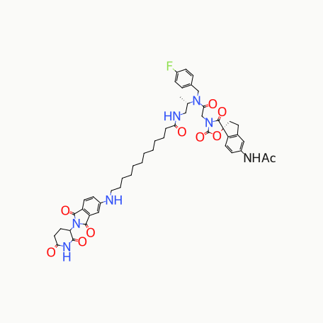 CC(=O)Nc1ccc2c(c1)CC[C@@]21OC(=O)N(CC(=O)N(Cc2ccc(F)cc2)[C@@H](C)CNC(=O)CCCCCCCCCCCNc2ccc3c(c2)C(=O)N(C2CCC(=O)NC2=O)C3=O)C1=O